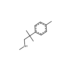 CNCC(C)(C)c1ccc(C)cc1